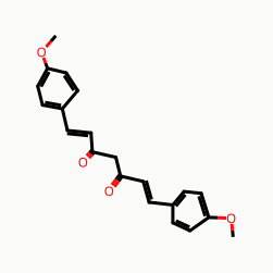 COc1ccc(/C=C/C(=O)CC(=O)/C=C/c2ccc(OC)cc2)cc1